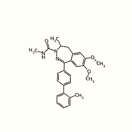 CNC(=O)N1N=C(c2ccc(-c3ccccc3C)cc2)c2cc(OC)c(OC)cc2CC1C